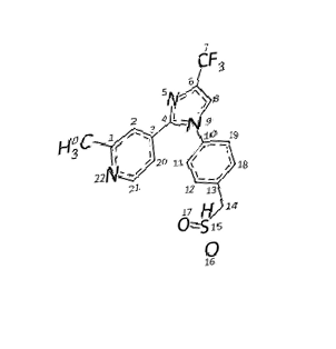 Cc1cc(-c2nc(C(F)(F)F)cn2-c2ccc(C[SH](=O)=O)cc2)ccn1